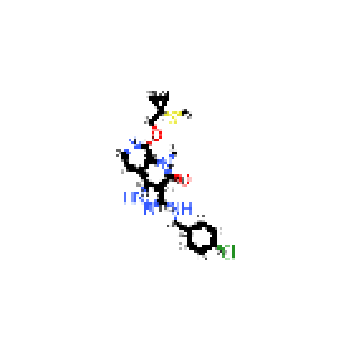 CSC1(COc2nccc3c4[nH]nc(NCc5ccc(Cl)cc5)c4c(=O)n(C)c23)CC1